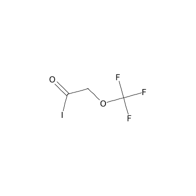 O=C(I)COC(F)(F)F